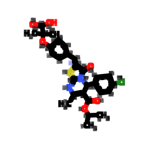 CC1=C(C(=O)OC(C)C)C(c2ccc(Cl)cc2)n2c(s/c(=C\c3ccc(OC(C)(C)C(=O)O)cc3)c2=O)=N1